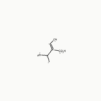 CCCC(C)/C(=C/C#N)C(=O)O